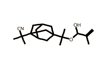 C=C(C)C(O)OC(C)(C)C12CC3CC(C1)C(C(C)(C)C#N)(C3)C2